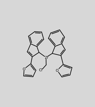 Cl[CH2][Zr]([CH]1C(c2ccco2)=Cc2ccccc21)[CH]1C(c2ccco2)=Cc2ccccc21